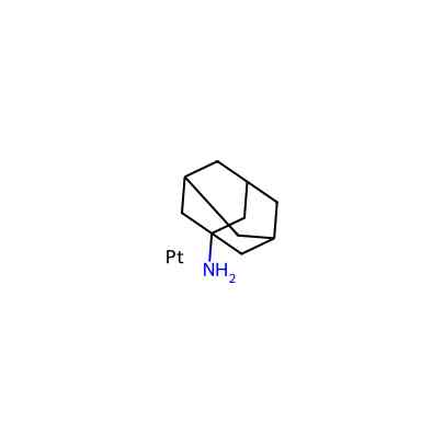 NC12CC3CC(CC(C3)C1)C2.[Pt]